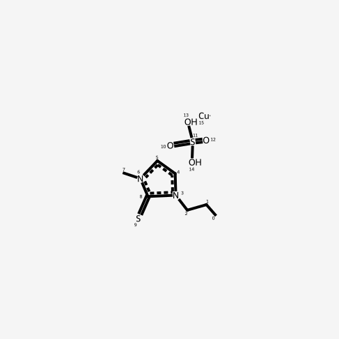 CCCn1ccn(C)c1=S.O=S(=O)(O)O.[Cu]